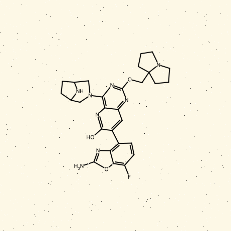 Nc1nc2c(-c3cc4nc(OCC56CCCN5CCC6)nc(N5CC6CCC(C5)N6)c4nc3O)ccc(F)c2o1